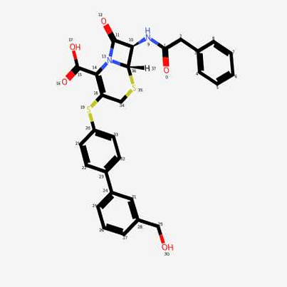 O=C(Cc1ccccc1)N[C@@H]1C(=O)N2C(C(=O)O)=C(Sc3ccc(-c4cccc(CO)c4)cc3)CS[C@@H]12